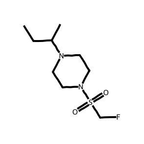 CCC(C)N1CCN(S(=O)(=O)CF)CC1